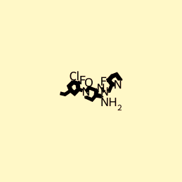 CCc1cc(Cl)c(F)c(N2CCc3c(nn(Cc4ncccc4F)c3N)C2=O)c1